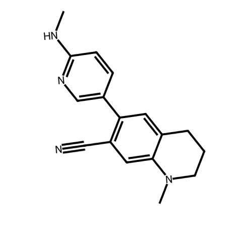 CNc1ccc(-c2cc3c(cc2C#N)N(C)CCC3)cn1